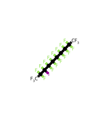 FC(F)(F)C(F)(F)C(F)(F)C(F)(F)C(F)(F)C(F)(F)C(F)(F)C(F)(I)C(F)(F)C(F)(F)F